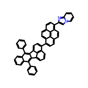 c1ccc(-c2c3c(c(-c4ccccc4)c4ccccc24)-c2ccc(-c4ccc5ccc6c(-c7cn8ccccc8n7)ccc7ccc4c5c76)c4cccc-3c24)cc1